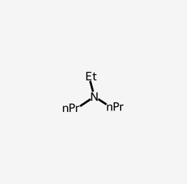 [CH2]CN(CCC)CCC